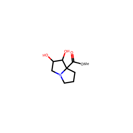 COC(=O)C12CCCN1CC(O)C2O